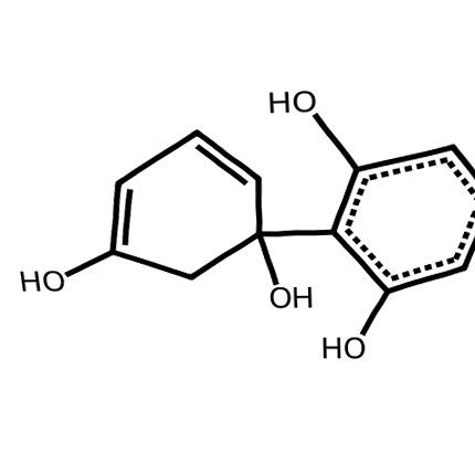 OC1=CC=CC(O)(c2c(O)cccc2O)C1